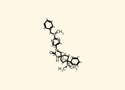 CN(Cc1ccccc1)c1ncc(N2CC3(CCC(c4ccccc4)(N(C)C)CC3)NC2=O)cn1